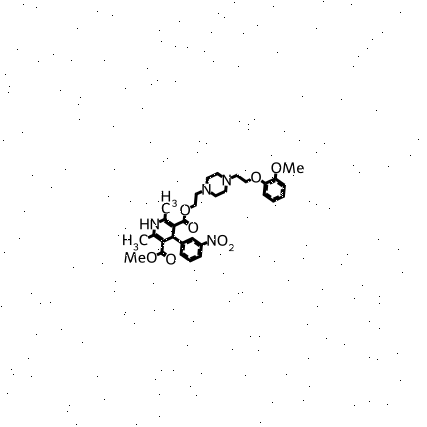 COC(=O)C1=C(C)NC(C)=C(C(=O)OCCN2CCN(CCOc3ccccc3OC)CC2)C1c1cccc([N+](=O)[O-])c1